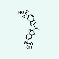 O=C(c1nc2ccc(S(=O)(=O)O)cc2s1)c1nc2ccc(S(=O)(=O)O)cc2s1